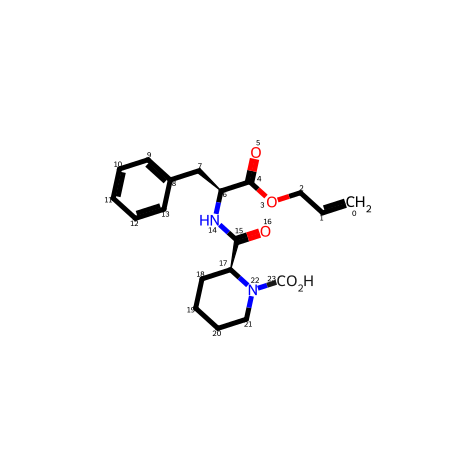 C=CCOC(=O)[C@H](Cc1ccccc1)NC(=O)[C@@H]1CCCCN1C(=O)O